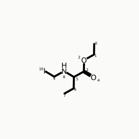 CCOC(=O)C(CC)NCI